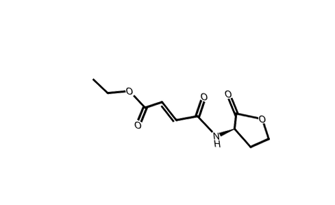 CCOC(=O)/C=C/C(=O)N[C@@H]1CCOC1=O